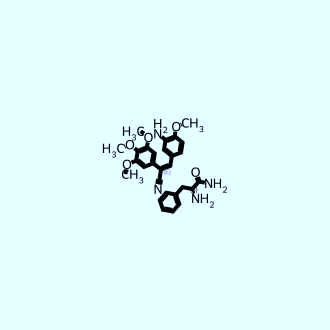 COc1ccc(/C=C(/C#N)c2cc(OC)c(OC)c(OC)c2)cc1N.NC(=O)[C@@H](N)Cc1ccccc1